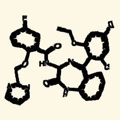 CCOc1cc(Cl)cc(Cl)c1C1=NC(NC(=O)c2cc(F)ccc2OCc2ncccn2)C(=O)Nc2ccccc21